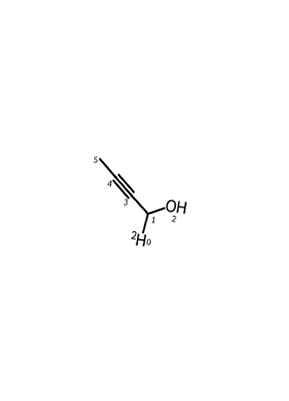 [2H]C(O)C#CC